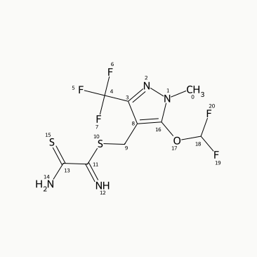 Cn1nc(C(F)(F)F)c(CSC(=N)C(N)=S)c1OC(F)F